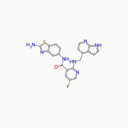 Nc1nc2cc(NC(=O)c3cc(F)cnc3NCc3ccnc4[nH]ccc34)ccc2s1